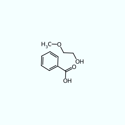 COCCO.O=C(O)c1ccccc1